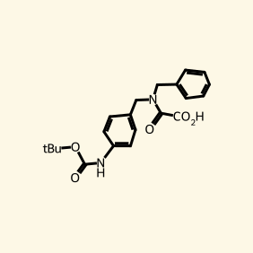 CC(C)(C)OC(=O)Nc1ccc(CN(Cc2ccccc2)C(=O)C(=O)O)cc1